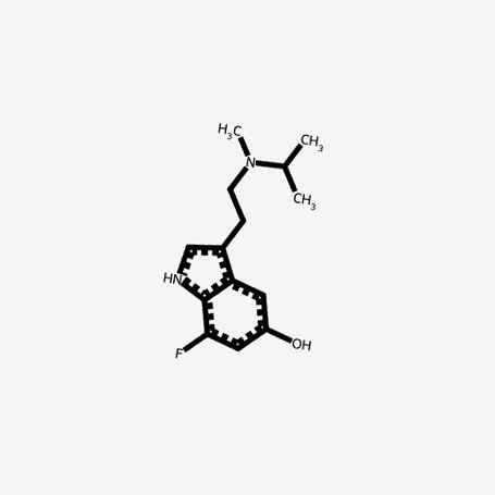 CC(C)N(C)CCc1c[nH]c2c(F)cc(O)cc12